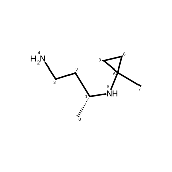 C[C@H](CCN)NC1(C)CC1